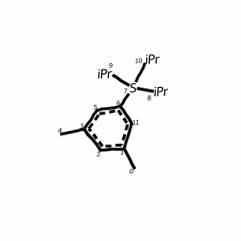 Cc1cc(C)cc(S(C(C)C)(C(C)C)C(C)C)c1